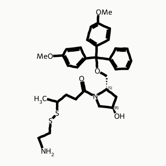 COc1ccc(C(OC[C@@H]2C[C@@H](O)CN2C(=O)CCC(C)SSCCN)(c2ccccc2)c2ccc(OC)cc2)cc1